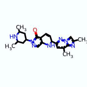 Cc1cn2nc(C3C=Cc4c(cnn(C5CC(C)NC(C)C5)c4=O)N3)cc(C)c2n1